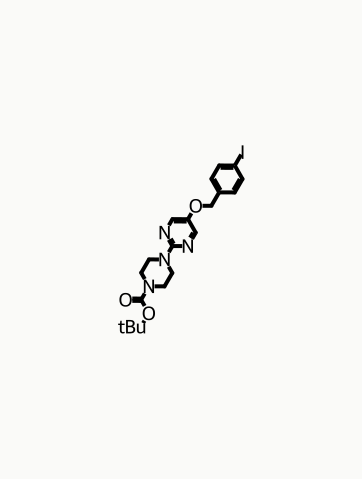 CC(C)(C)OC(=O)N1CCN(c2ncc(OCc3ccc(I)cc3)cn2)CC1